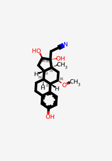 CO[C@H]1C[C@@]2(C)[C@@H](C[C@@H](O)[C@@]2(O)CC#N)[C@@H]2CCc3cc(O)ccc3[C@H]21